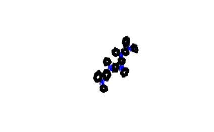 C1=CCCC(n2c3ccc(N(C4=CC=C5C(C4)c4ccccc4N5c4ccccc4)c4ccccc4)cc3c3cc(N(c4ccccc4)c4ccc5c(c4)c4c(n5-c5ccccc5)CCC=C4)ccc32)=C1